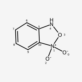 [O-][N+]1([O-])ONc2ccccc21